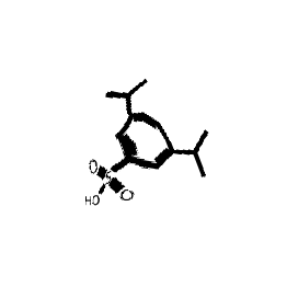 CC(C)c1cc(C(C)C)cc(S(=O)(=O)O)c1